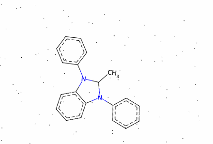 CC1N(c2ccccc2)c2ccccc2N1c1ccccc1